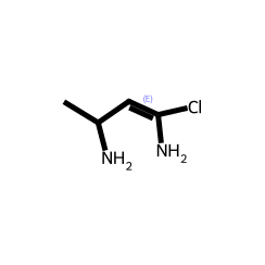 CC(N)/C=C(\N)Cl